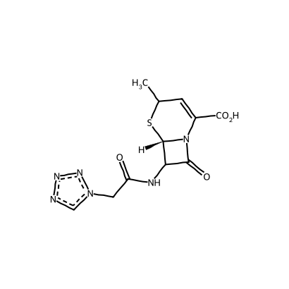 CC1C=C(C(=O)O)N2C(=O)C(NC(=O)Cn3cnnn3)[C@@H]2S1